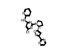 CCc1cc(Nc2ccccn2)nc(N2CCC[C@H]2c2cc(-c3ncccn3)no2)n1